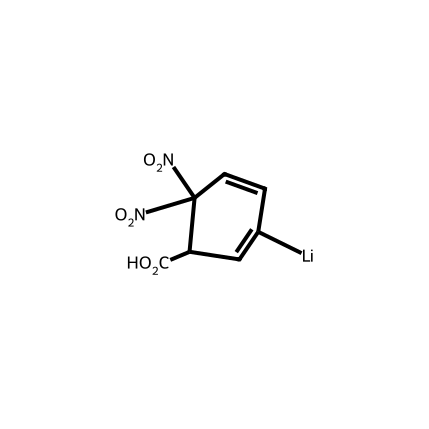 [Li][C]1=CC(C(=O)O)C([N+](=O)[O-])([N+](=O)[O-])C=C1